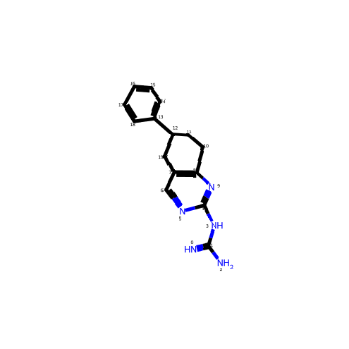 N=C(N)Nc1ncc2c(n1)CCC(c1ccccc1)C2